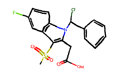 CS(=O)(=O)c1c(CC(=O)O)n(C(Cl)c2ccccc2)c2ccc(F)cc12